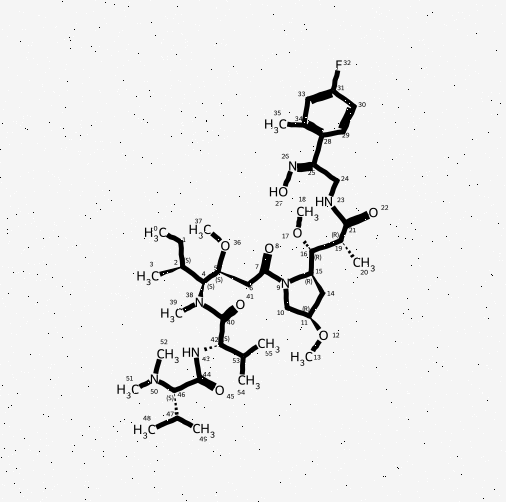 CC[C@H](C)[C@@H]([C@H](CC(=O)N1C[C@H](OC)C[C@@H]1[C@H](OC)[C@@H](C)C(=O)NCC(=NO)c1ccc(F)cc1C)OC)N(C)C(=O)[C@@H](NC(=O)[C@H](C(C)C)N(C)C)C(C)C